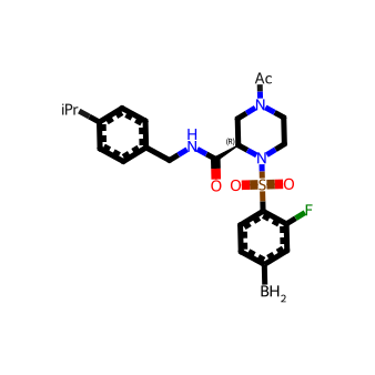 Bc1ccc(S(=O)(=O)N2CCN(C(C)=O)C[C@@H]2C(=O)NCc2ccc(C(C)C)cc2)c(F)c1